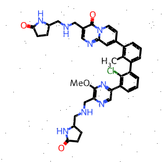 COc1nc(-c2cccc(-c3cccc(-c4ccn5c(=O)c(CNCC6CCC(=O)N6)cnc5c4)c3C)c2Cl)cnc1CNCC1CCC(=O)N1